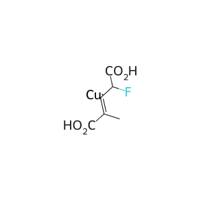 CC(=CC(F)C(=O)O)C(=O)O.[Cu]